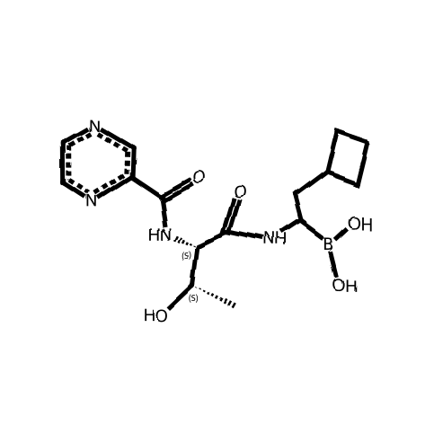 C[C@H](O)[C@H](NC(=O)c1cnccn1)C(=O)NC(CC1CCC1)B(O)O